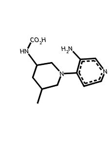 CC1CC(NC(=O)O)CN(c2ccncc2N)C1